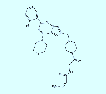 C/C=C\C(=O)NCC(=O)N1CCN(Cc2cc3c(N4CCOCC4)nc(-c4ccccc4O)nn3c2)CC1